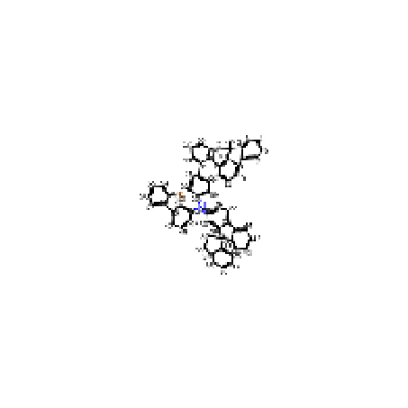 CC1(C)c2ccccc2-c2cccc(-c3ccccc3-c3ccc(N(c4ccc5c(c4)C4(CCc6ccccc64)c4ccccc4-5)c4cccc5c4sc4ccccc45)cc3)c21